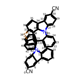 N#Cc1ccc2c(c1)c1ccccc1n2-c1ccccc1-c1ccccc1-n1c2ccc(C#N)cc2c2ccc3sc4ccccc4c3c21